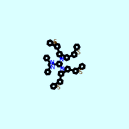 c1ccc(-c2cc(-c3ccccc3)nc(-c3cc(-n4c5ccc(-c6ccc7sc8ccccc8c7c6)cc5c5cc(-c6ccc7sc8ccccc8c7c6)ccc54)cc(-n4c5ccc(-c6ccc7sc8ccccc8c7c6)cc5c5cc(-c6ccc7sc8ccccc8c7c6)ccc54)c3)n2)cc1